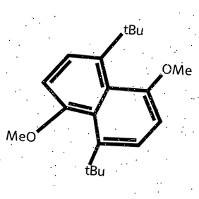 COc1ccc(C(C)(C)C)c2c(OC)ccc(C(C)(C)C)c12